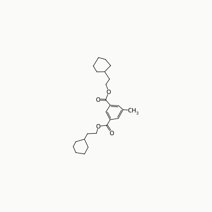 Cc1cc(C(=O)OCCC2CCCCC2)cc(C(=O)OCCC2CCCCC2)c1